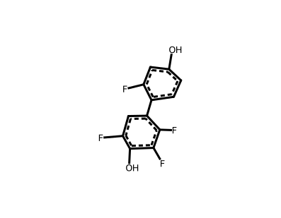 Oc1ccc(-c2cc(F)c(O)c(F)c2F)c(F)c1